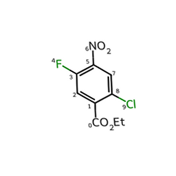 CCOC(=O)c1cc(F)c([N+](=O)[O-])cc1Cl